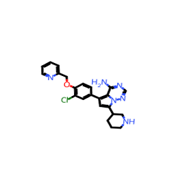 Nc1ncnn2c(C3CCCNC3)cc(-c3ccc(OCc4ccccn4)c(Cl)c3)c12